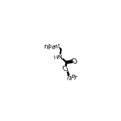 [CH2]CCOC(=O)NCCCCCC